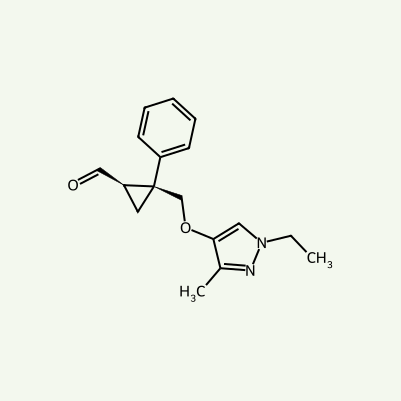 CCn1cc(OC[C@@]2(c3ccccc3)C[C@H]2C=O)c(C)n1